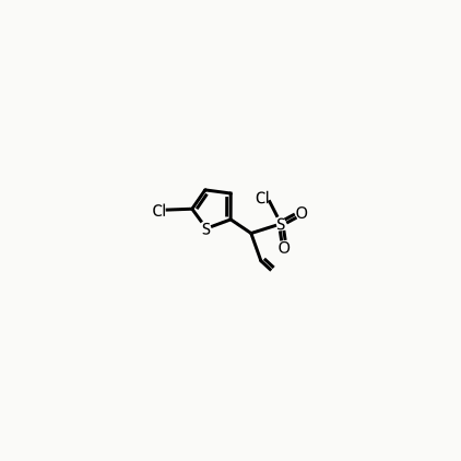 C=CC(c1ccc(Cl)s1)S(=O)(=O)Cl